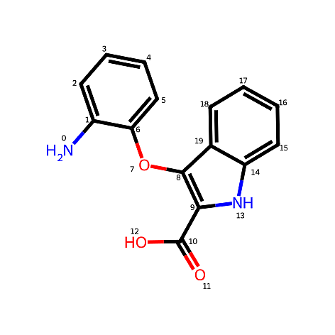 Nc1ccccc1Oc1c(C(=O)O)[nH]c2ccccc12